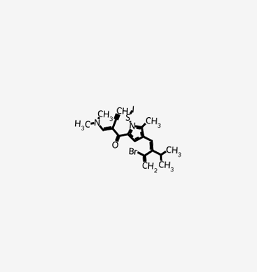 C#C/C(=C\N(C)C)C(=O)c1cc(/C=C(\C(=C)Br)C(C)C)c(C)n1SI